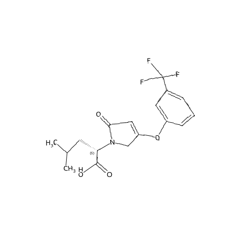 CC(C)C[C@@H](C(=O)O)N1CC(Oc2cccc(C(F)(F)F)c2)=CC1=O